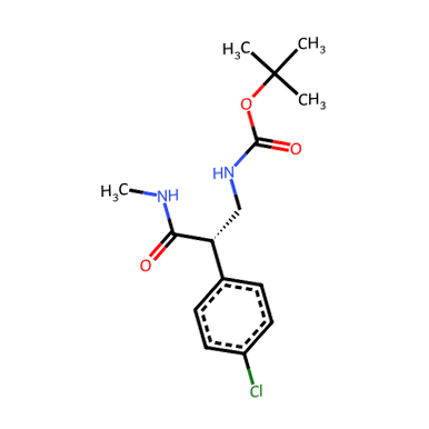 CNC(=O)[C@H](CNC(=O)OC(C)(C)C)c1ccc(Cl)cc1